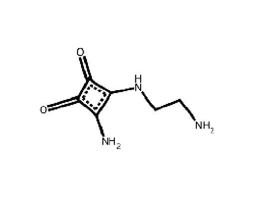 NCCNc1c(N)c(=O)c1=O